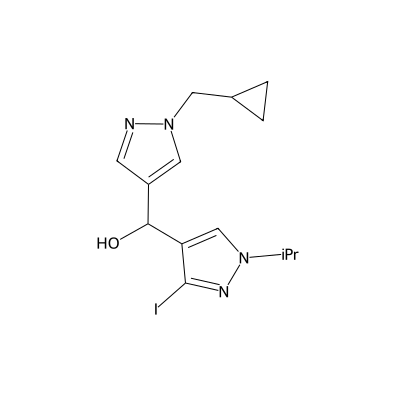 CC(C)n1cc(C(O)c2cnn(CC3CC3)c2)c(I)n1